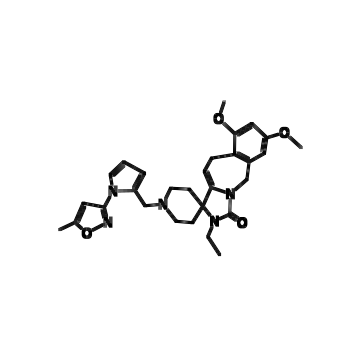 CCN1C(=O)N2Cc3cc(OC)cc(OC)c3CC=C2C12CCN(Cc1cccn1-c1cc(C)on1)CC2